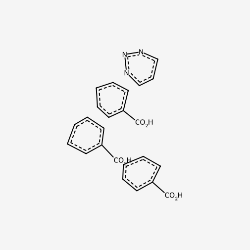 O=C(O)c1ccccc1.O=C(O)c1ccccc1.O=C(O)c1ccccc1.c1cnnnc1